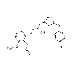 COc1cccc(OCC(O)CN2CCC(Oc3ccc(Cl)cc3)C2)c1CC=O